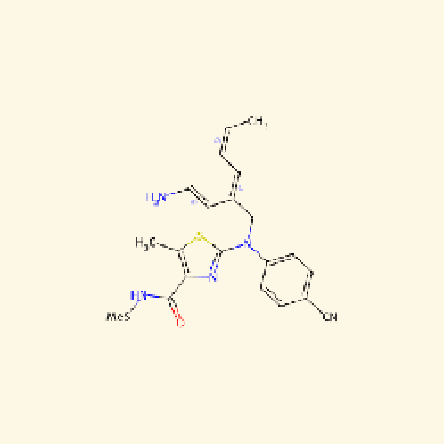 C\C=C/C=C(\C=C\N)CN(c1ccc(C#N)cc1)c1nc(C(=O)NSC)c(C)s1